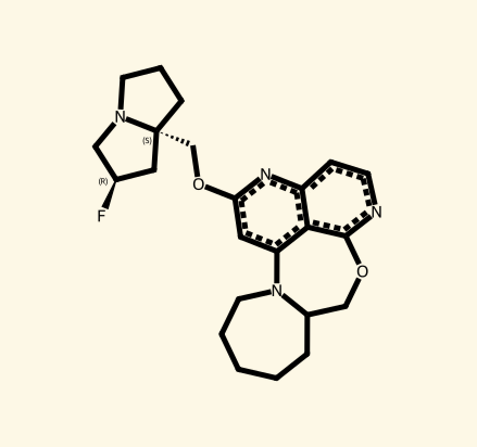 F[C@H]1CN2CCC[C@@]2(COc2cc3c4c(nccc4n2)OCC2CCCCCN32)C1